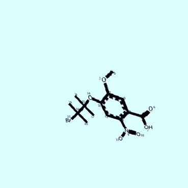 COc1cc(C(=O)O)c([N+](=O)[O-])cc1OC(C)(C)C(C)(C)Br